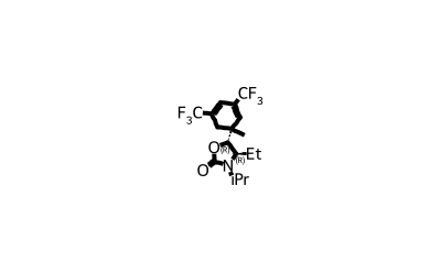 CC[C@@H]1[C@@H](C2(C)C=C(C(F)(F)F)C=C(C(F)(F)F)C2)OC(=O)N1C(C)C